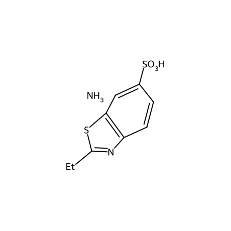 CCc1nc2ccc(S(=O)(=O)O)cc2s1.N